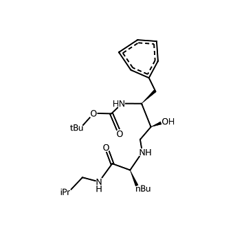 CCCC[C@H](NC[C@H](O)[C@H](Cc1ccccc1)NC(=O)OC(C)(C)C)C(=O)NCC(C)C